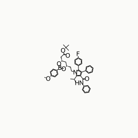 COc1ccc(B2O[C@H](CCn3c(-c4ccc(F)cc4)c(-c4ccccc4)c(C(=O)Nc4ccccc4)c3C(C)C)C[C@H](CC(=O)OC(C)(C)C)O2)cc1